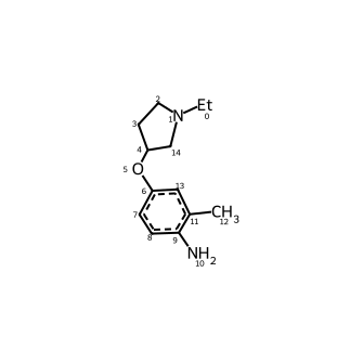 CCN1CCC(Oc2ccc(N)c(C)c2)C1